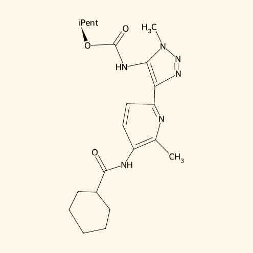 CCC[C@H](C)OC(=O)Nc1c(-c2ccc(NC(=O)C3CCCCC3)c(C)n2)nnn1C